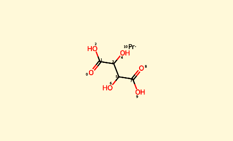 O=C(O)C(O)C(O)C(=O)O.[Pr]